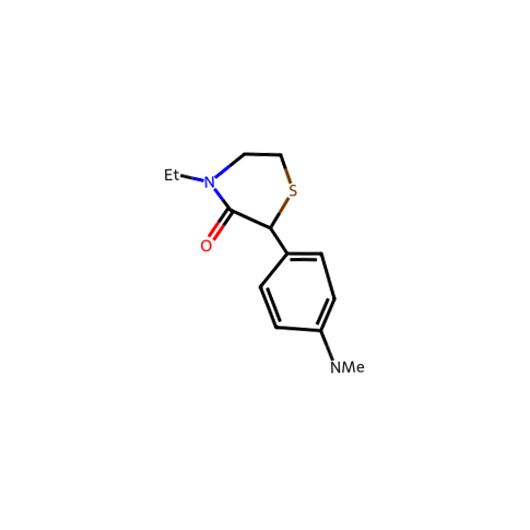 CCN1CCSC(c2ccc(NC)cc2)C1=O